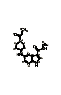 C=CC(=O)N1CCC(Nc2cnc3[nH]cc(C(=O)NCCCC)c3n2)CC1